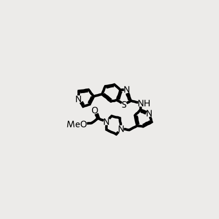 COCC(=O)N1CCN(Cc2ccnc(Nc3nc4ccc(-c5ccncc5)cc4s3)c2)CC1